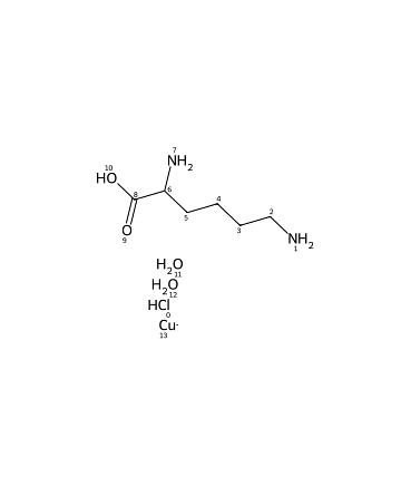 Cl.NCCCCC(N)C(=O)O.O.O.[Cu]